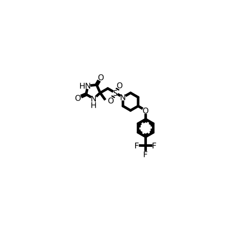 CC1(CS(=O)(=O)N2CCC(Oc3ccc(C(F)(F)F)cc3)CC2)NC(=O)NC1=O